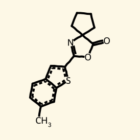 Cc1ccc2cc(C3=NC4(CCCC4)C(=O)O3)sc2c1